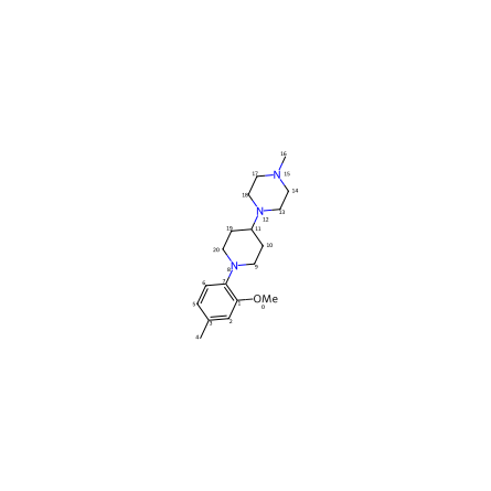 COc1cc(C)ccc1N1CCC(N2CCN(C)CC2)CC1